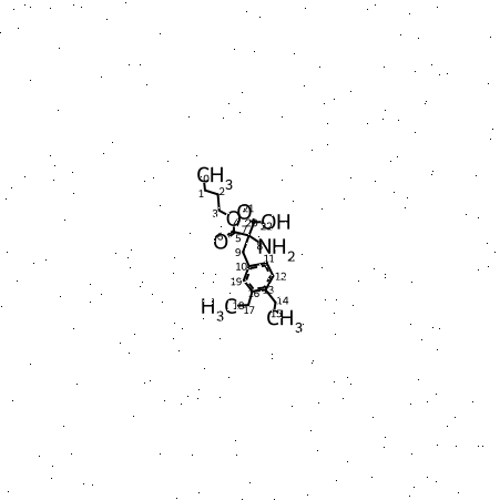 CCCCOC(=O)C(N)(Cc1ccc(CC)c(CC)c1)C(=O)O